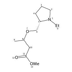 CCN1CCC[C@H]1COC(C)CC(=O)OC